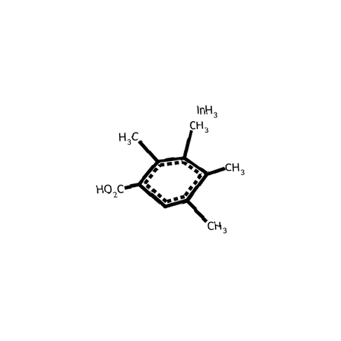 Cc1cc(C(=O)O)c(C)c(C)c1C.[InH3]